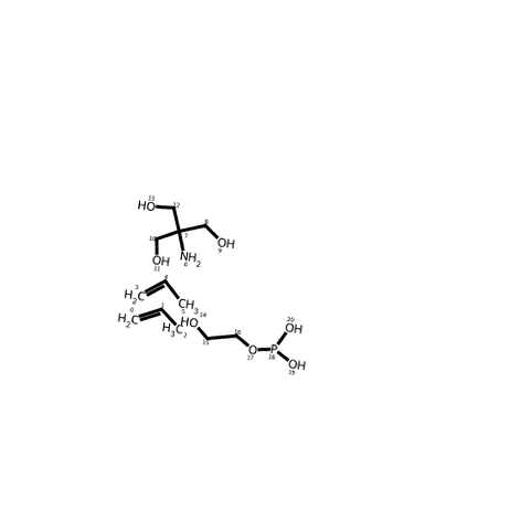 C=CC.C=CC.NC(CO)(CO)CO.OCCOP(O)O